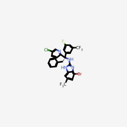 Fc1cc(C(F)(F)F)cc([C@@](Cc2ccccc2)(Nc2nc3c(Br)cc(C(F)(F)F)cc3[nH]2)c2ccc(Cl)cn2)c1